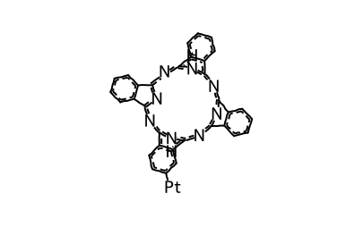 [Pt][c]1ccc2c3nc4nc(nc5[nH]c(nc6nc(nc([nH]3)c2c1)-c1ccccc1-6)c1ccccc51)-c1ccccc1-4